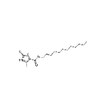 CCCCCCCCCCCCOC(=O)c1sc(=O)[nH]c1C